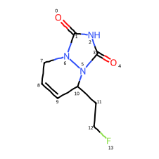 O=c1[nH]c(=O)n2n1CC=CC2CCF